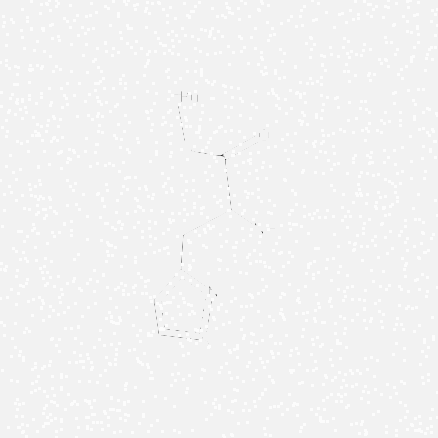 CC(C)(C)OC(=O)C(N)Cc1ccsn1